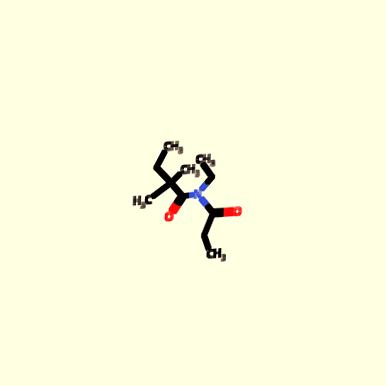 CCC(=O)N(CC)C(=O)C(C)(C)CC